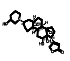 CC12[C@H](O)C[C@H]3[C@@H](CC[C@@H]4C[C@@H](N5CCCC(O)C5)CC[C@@]43C)C1(O)CC[C@@H]2C1=CC(=O)OC1